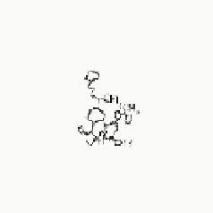 CC(=O)OC1=C2C3C=C(C(C)CCCc4ccccc4)C=CC3=C3C(=O)CCC[C@@H]3N2C[C@H](O)C1